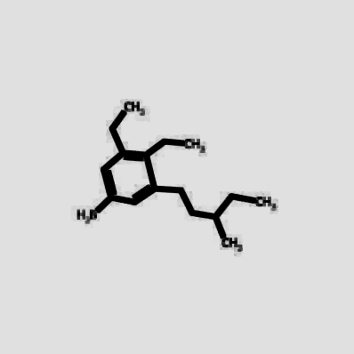 Bc1cc(CC)c(CC)c(CCC(C)CC)c1